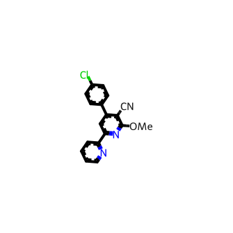 COc1nc(-c2ccccn2)cc(-c2ccc(Cl)cc2)c1C#N